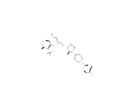 COCC(CO[C@@H]1CCN(C2CCN(c3ncc(C)cn3)CC2)C1=O)Nc1cn[nH]c(=O)c1C(F)(F)F